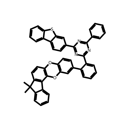 CC1(C)c2ccccc2-c2c1ccc1c2Oc2cc(-c3ccccc3-c3nc(-c4ccccc4)nc(-c4ccc5c(c4)sc4ccccc45)n3)ccc2O1